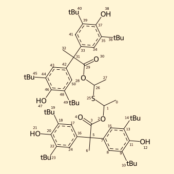 CC(OC(=O)C(C)(c1cc(C(C)(C)C)c(O)c(C(C)(C)C)c1)c1cc(C(C)(C)C)c(O)c(C(C)(C)C)c1)SC(C)OC(=O)C(C)(c1cc(C(C)(C)C)c(O)c(C(C)(C)C)c1)c1cc(C(C)(C)C)c(O)c(C(C)(C)C)c1